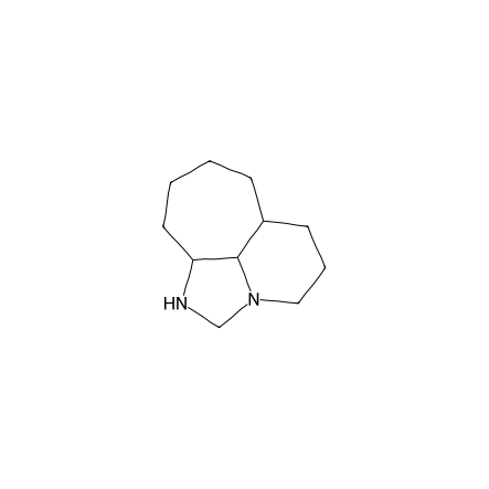 C1CCC2NCN3CCCC(C1)C23